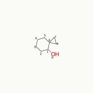 OC1CCCCC12CC2